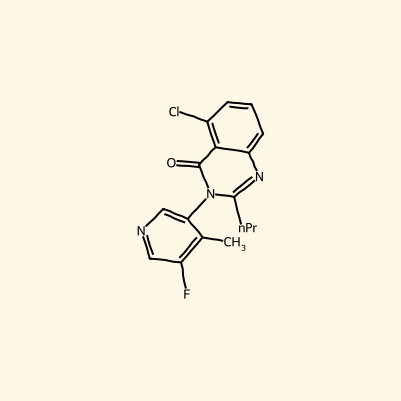 CCCc1nc2cccc(Cl)c2c(=O)n1-c1cncc(F)c1C